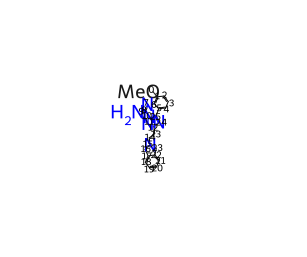 COc1cccc2c1nc(N)n1nc(CCN3Cc4ccccc4C3)nc21